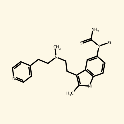 CCN(C(N)=S)c1ccc2[nH]c(C)c(CCN(C)CCc3ccncc3)c2c1